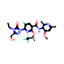 CCn1c(CO)nn(-c2nc(O[C@@H](C)C(F)(F)F)c(C(=O)Nc3c(OC)cc(C)nc3C)cc2F)c1=O